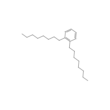 CCCCCCCCc1[c]cc[c]c1CCCCCCCC